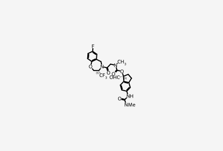 CNC(=O)Nc1ccc2c(c1)CC[C@]2(C=O)OC(=O)N(C)CC(=O)N1Cc2cc(F)ccc2OC[C@H]1C(F)(F)F